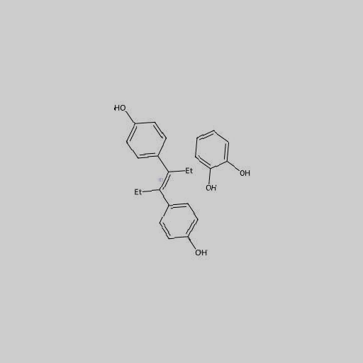 CC/C(=C(/CC)c1ccc(O)cc1)c1ccc(O)cc1.Oc1ccccc1O